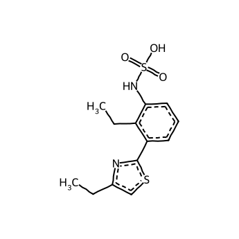 CCc1csc(-c2cccc(NS(=O)(=O)O)c2CC)n1